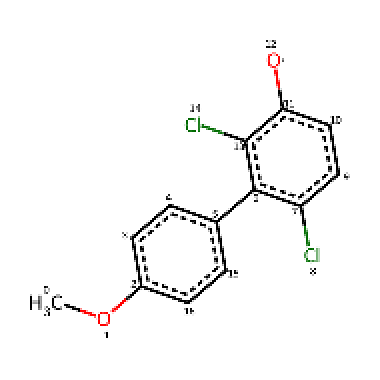 COc1ccc(-c2c(Cl)ccc([O])c2Cl)cc1